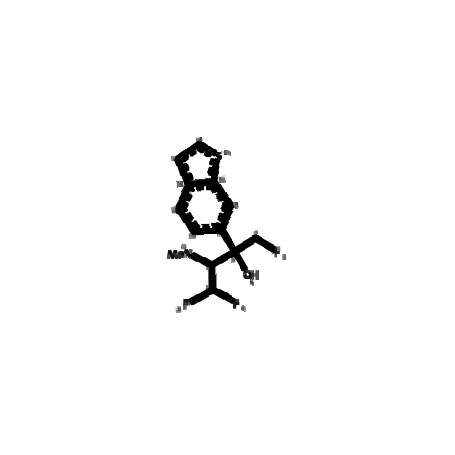 CNC(C(F)F)C(O)(CF)c1ccc2ccsc2c1